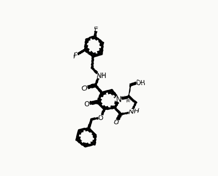 O=C(NCc1ccc(F)cc1F)c1cn2c(c(OCc3ccccc3)c1=O)C(=O)NC[C@@H]2CO